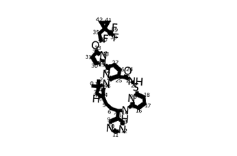 CC1(C)C[C@@H]2CCC(c3cncnc3)Nc3cccc(n3)SNC(=O)c3ccc(-n4ccc(OCCC5(C(F)(F)F)CC5)n4)nc3N1C2